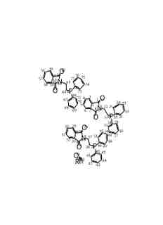 O=C1c2ccccc2C(=O)N1CCP(c1ccccc1)c1ccccc1.O=C1c2ccccc2C(=O)N1CCP(c1ccccc1)c1ccccc1.O=C1c2ccccc2C(=O)N1CCP(c1ccccc1)c1ccccc1.[C]=O.[Rh]